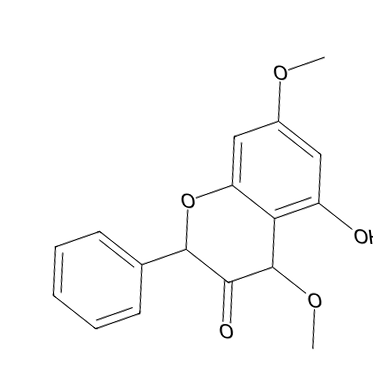 COc1cc(O)c2c(c1)OC(c1ccccc1)C(=O)C2OC